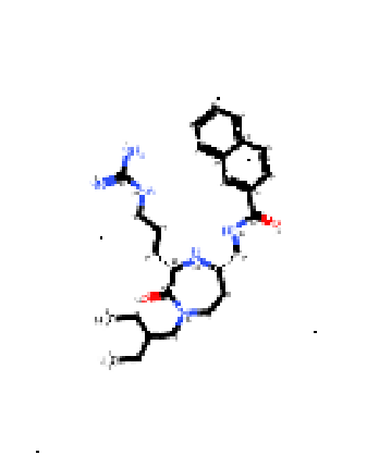 CCC(CC)CN1CC[C@@H](CNC(=O)c2ccc3ccccc3c2)N[C@@H](CCCNC(=N)N)C1=O